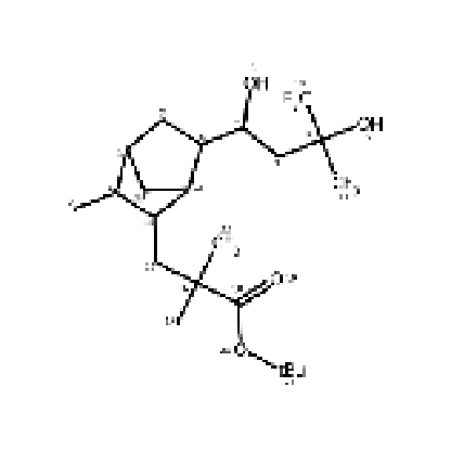 CC1C2CC(C(O)CC(O)(C(F)(F)F)C(F)(F)F)C(C2)C1CC(C)(C(=O)OC(C)(C)C)C(F)(F)F